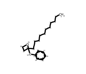 CCCCCCCCCCCC1(Oc2ccccc2)CCO1